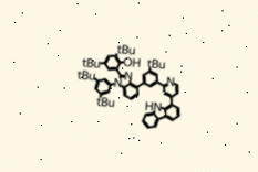 CC(C)(C)c1cc(-c2cc(-c3cccc4c3[nH]c3ccccc34)ccn2)cc(-c2cccc3c2nc(-c2cc(C(C)(C)C)cc(C(C)(C)C)c2O)n3-c2cc(C(C)(C)C)cc(C(C)(C)C)c2)c1